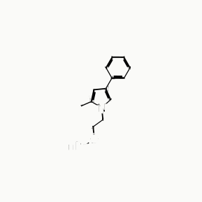 CCCOCCn1cc(-c2ccccc2)cc1C